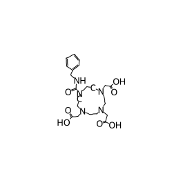 O=C(O)CN1CCN(CC(=O)O)CCN(C(=O)NCc2ccccc2)CCN(CC(=O)O)CC1